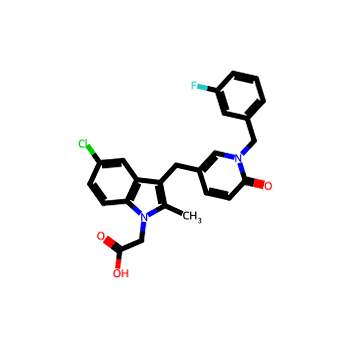 Cc1c(Cc2ccc(=O)n(Cc3cccc(F)c3)c2)c2cc(Cl)ccc2n1CC(=O)O